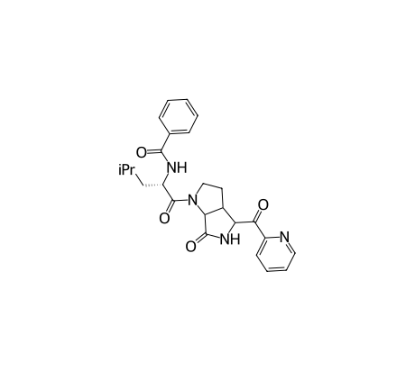 CC(C)C[C@H](NC(=O)c1ccccc1)C(=O)N1CCC2C(C(=O)c3ccccn3)NC(=O)C21